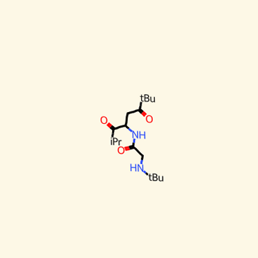 CC(C)C(=O)C(CC(=O)C(C)(C)C)NC(=O)CNC(C)(C)C